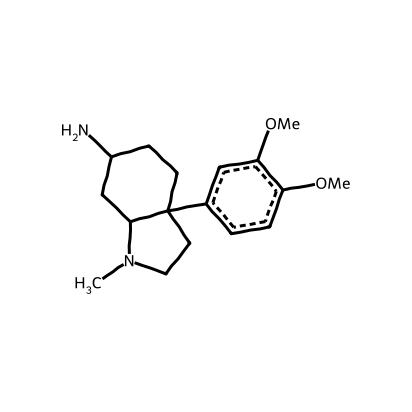 COc1ccc(C23CCC(N)CC2N(C)CC3)cc1OC